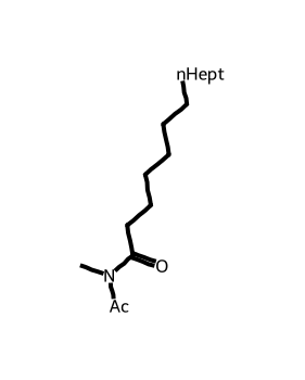 CCCCCCCCCCCCCC(=O)N(C)C(C)=O